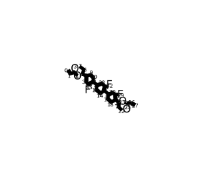 C=CC(=O)OC(CC)c1ccc(-c2ccc(-c3ccc(C(CC)OC(=O)C=C)c(F)c3)c(F)c2)c(F)c1